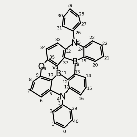 c1ccc(N2c3cccc4c3B3c5c(cccc52)B2c5ccccc5N(c5ccccc5)c5ccc(c3c52)O4)cc1